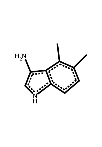 Cc1ccc2[nH]cc(N)c2c1C